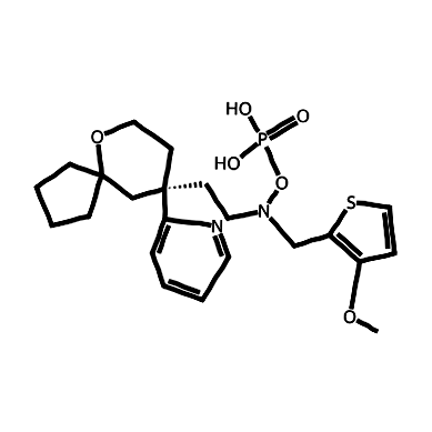 COc1ccsc1CN(CC[C@@]1(c2ccccn2)CCOC2(CCCC2)C1)OP(=O)(O)O